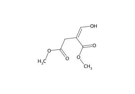 COC(=O)C/C(=C/O)C(=O)OC